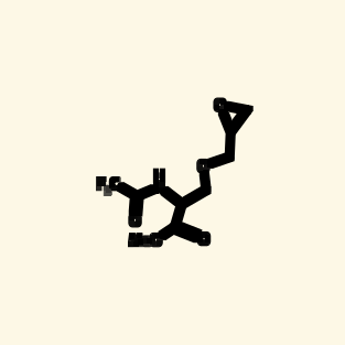 COC(=O)C(COCC1CO1)NC(=O)C(F)(F)F